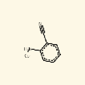 N#Cc1ccccc1N.[Co]